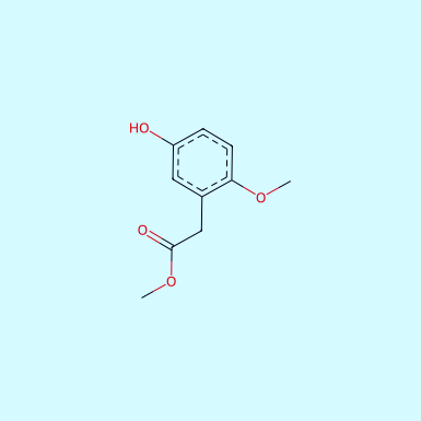 COC(=O)Cc1cc(O)ccc1OC